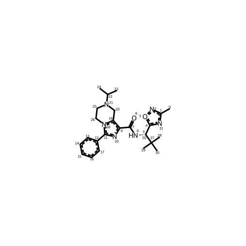 Cc1noc([C@@H](NC(=O)c2nc(-c3ccccc3)n3c2CN(C(C)C)CC3)C(C)(C)C)n1